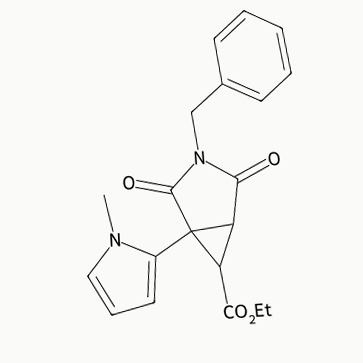 CCOC(=O)C1C2C(=O)N(Cc3ccccc3)C(=O)C12c1cccn1C